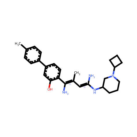 CC(/C=C(\N)NC1CCCN(C2CCC2)C1)=C(/N)c1ccc(-c2ccc(C)cc2)cc1O